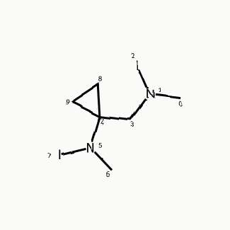 CN(I)CC1(N(C)I)CC1